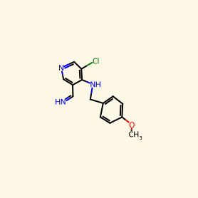 COc1ccc(CNc2c(Cl)cncc2C=N)cc1